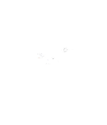 C=C1C=C[C@@H]([C@@H]2CC=C(N(C)C(O)C(F)(F)F)CC2)N[C@H]1C/C=C(\C)OCC(COS(=O)(=O)c1ccc(C)cc1)OC1CCCCO1